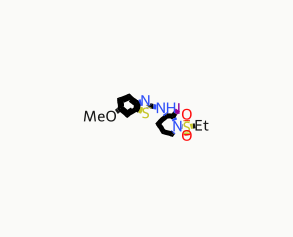 CCS(=O)(=O)N1CCCC(Nc2nc3ccc(OC)cc3s2)C1I